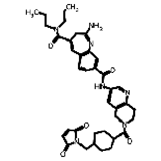 CCCN(CCC)C(=O)C1=Cc2ccc(C(=O)Nc3cnc4c(c3)CN(C(=O)C3CCC(CN5C(=O)C=CC5=O)CC3)CC4)cc2N=C(N)C1